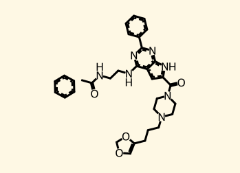 CC(=O)NCCNc1nc(-c2ccccc2)nc2[nH]c(C(=O)N3CCN(CCCC4=COCO4)CC3)cc12.c1ccccc1